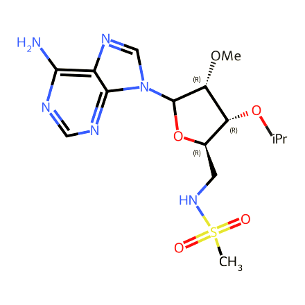 CO[C@H]1C(n2cnc3c(N)ncnc32)O[C@H](CNS(C)(=O)=O)[C@H]1OC(C)C